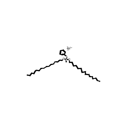 CCCCCCCCCCCCCCCCOP(=S)(OCCCCCCCCCCCCCCCC)Sc1ccccc1.[S-2].[Zn+2]